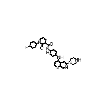 O=C(Nc1ccc(Nc2ccnc3cnc(N4CCNCC4)cc23)cc1)c1cccn(-c2ccc(F)cc2)c1=O